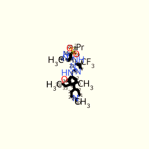 Cc1cc(Nc2ncc(C(F)(F)F)c(Nc3cn(C)nc3S(=O)(=O)C(C)C)n2)c2c(c1C1CCN(C)CC1)CC(C)O2